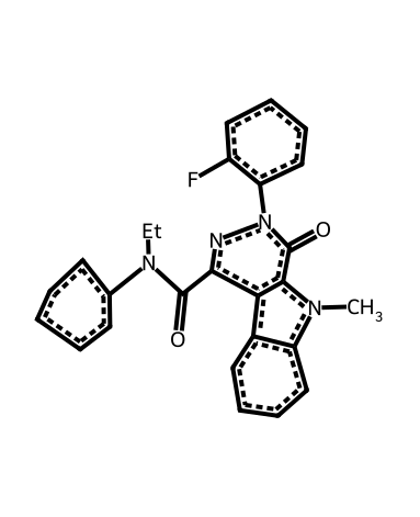 CCN(C(=O)c1nn(-c2ccccc2F)c(=O)c2c1c1ccccc1n2C)c1ccccc1